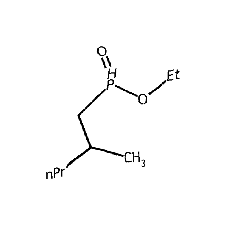 CCCC(C)C[PH](=O)OCC